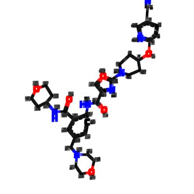 N#Cc1ccc(OC2CCN(c3nc(C(=O)Nc4ccc(CN5CCOCC5)cc4C(=O)NC4CCOCC4)co3)CC2)nc1